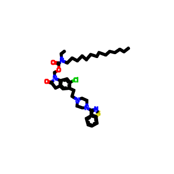 CCCCCCCCCCCCCCN(CC)C(=O)OCN1C(=O)Cc2cc(CCN3CCN(c4nsc5ccccc45)CC3)c(Cl)cc21